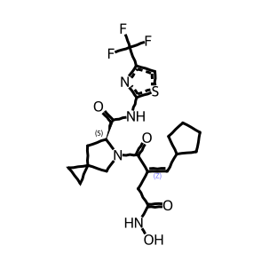 O=C(C/C(=C/C1CCCC1)C(=O)N1CC2(CC2)C[C@H]1C(=O)Nc1nc(C(F)(F)F)cs1)NO